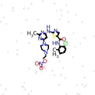 Cc1nc(Nc2ncc(C(=O)Nc3c(C)cccc3Cl)s2)cc(N2CCN(CCO[N+](=O)[O-])CC2)n1